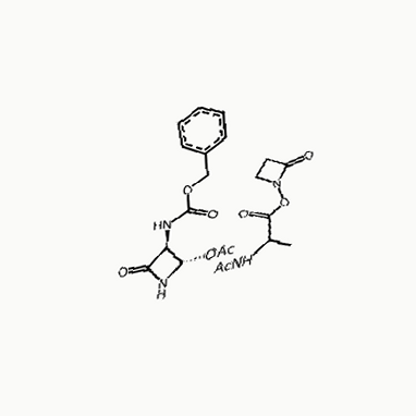 CC(=O)NC(C)C(=O)ON1CCC1=O.CC(=O)O[C@@H]1NC(=O)[C@H]1NC(=O)OCc1ccccc1